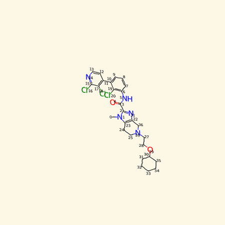 Cn1c(C(=O)Nc2cccc(-c3ccnc(Cl)c3Cl)c2Cl)nc2c1CCN(CCOC1CCCCC1)C2